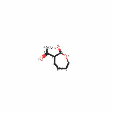 CNC(=O)C1CCCCOC1=O